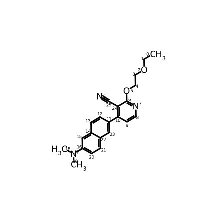 CCOCCOc1nccc(-c2ccc3cc(N(C)C)ccc3c2)c1C#N